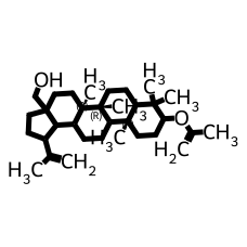 C=C(C)OC1CC[C@@]2(C)C(CC[C@]3(C)C2CCC2C4C(C(=C)C)CCC4(CO)CC[C@]23C)C1(C)C